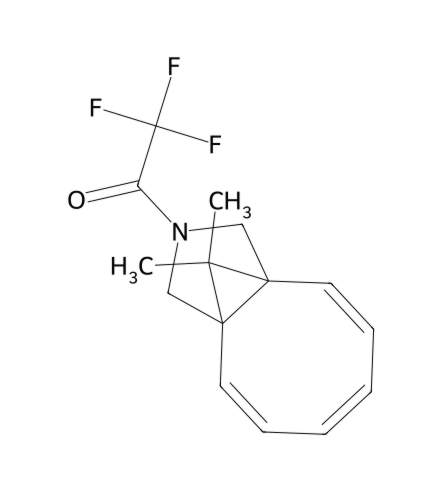 CC1(C)C23C=CC=CC=CC12CN(C(=O)C(F)(F)F)C3